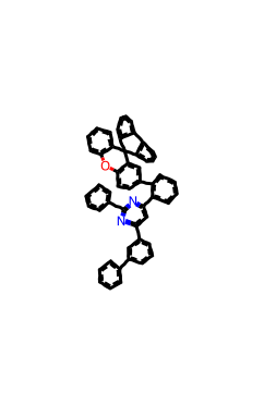 c1ccc(-c2cccc(-c3cc(-c4ccccc4-c4ccc5c(c4)C4(c6ccccc6O5)c5ccccc5-c5ccccc54)nc(-c4ccccc4)n3)c2)cc1